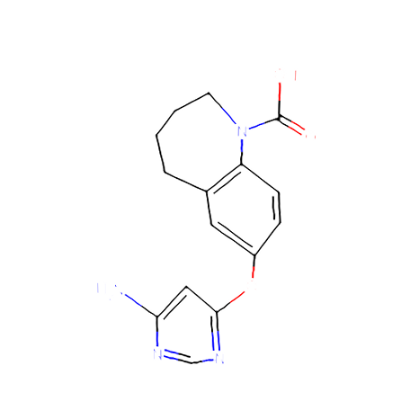 Nc1cc(Oc2ccc3c(c2)CCCCN3C(=O)O)ncn1